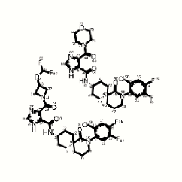 O=C(N[C@H]1CC[C@]2(CCCN(c3cc(F)c(F)cc3Cl)C2=O)CC1)c1[nH]cnc1C(=O)N1CC(OC(F)F)C1.O=C(N[C@H]1CC[C@]2(CCCN(c3cc(F)c(F)cc3Cl)C2=O)CC1)c1[nH]cnc1C(=O)N1CCOCC1